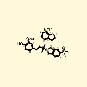 COc1cc(CCC(C)(C)N2Cc3ccc(S(C)(=O)=O)cc3C2)ccc1O.Cl.c1ccc2c(c1)CCN2